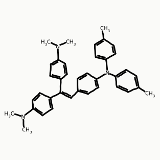 Cc1ccc(N(c2ccc(C)cc2)c2ccc(C=C(c3ccc(N(C)C)cc3)c3ccc(N(C)C)cc3)cc2)cc1